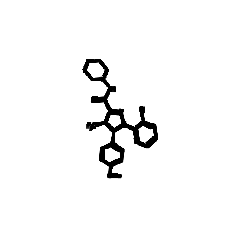 COc1ccc([C@H]2[C@@H](C(F)(F)F)C(C(=O)NN3CCCCC3)=NN2c2ccccc2Cl)cc1